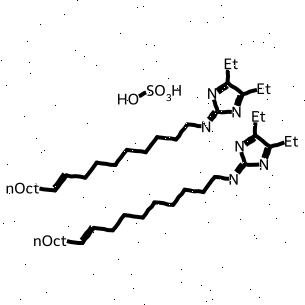 CCCCCCCCC=CCCCCCCCCN=C1N=C(CC)C(CC)=N1.CCCCCCCCC=CCCCCCCCCN=C1N=C(CC)C(CC)=N1.O=S(=O)(O)O